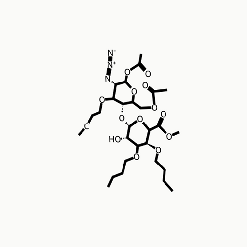 CCCCOC1[C@H](N=[N+]=[N-])C(OC(C)=O)OC(COC(C)=O)[C@@H]1O[C@@H]1OC(C(=O)OC)[C@@H](OCCCC)C(OCCCC)[C@@H]1O